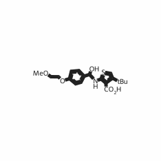 COCCOc1ccc(C(O)Nc2scc(C(C)(C)C)c2C(=O)O)cc1